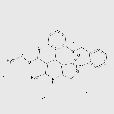 CCOC(=O)C1=C(C)NC2=C(C(=O)OC2)C1c1ccccc1SCc1ccccc1C